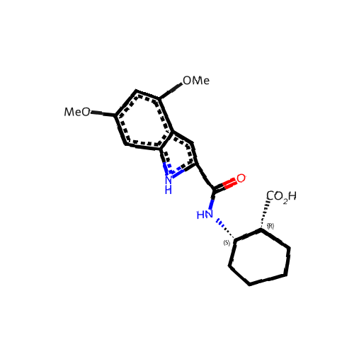 COc1cc(OC)c2cc(C(=O)N[C@H]3CCCC[C@H]3C(=O)O)[nH]c2c1